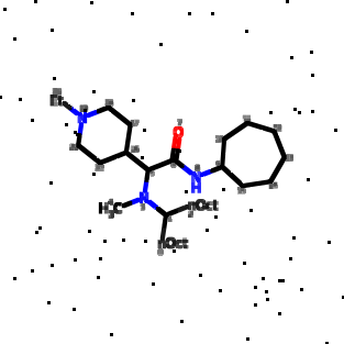 CCCCCCCCC(CCCCCCCC)N(C)C(C(=O)NC1CCCCCC1)C1CCN(CC)CC1